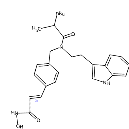 CCCCC(C)C(=O)N(CCc1c[nH]c2ccccc12)Cc1ccc(/C=C/C(=O)NO)cc1